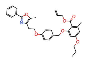 C=CCOC(=O)c1c(C)cc(OCCC)cc1OCc1ccc(OCCc2nc(-c3ccccc3)oc2C)cc1